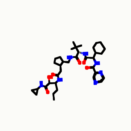 CCCC(NC(=O)C[C@H]1CCC[C@H]1CNC(=O)[C@@H](NC(=O)[C@H](NC(=O)c1cnccn1)C1CCCCC1)C(C)(C)C)C(O)C(=O)NC1CC1